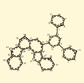 c1ccc(-c2cc(-c3ccccc3)nc(-c3cc4ccc5oc6ccccc6c5c4c4oc5ccccc5c34)n2)cc1